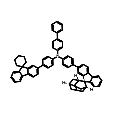 c1ccc(-c2ccc(N(c3ccc(-c4ccc5c(c4)C4(CCCCC4)c4ccccc4-5)cc3)c3ccc(-c4ccc5c(c4)[C@]4(c6ccccc6-5)[C@@H]5CC6C[C@@H](C5)C[C@@H]4C6)cc3)cc2)cc1